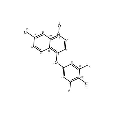 Cc1cc(Oc2cc[n+]([O-])c3cc(Cl)ccc23)cc(C)c1Cl